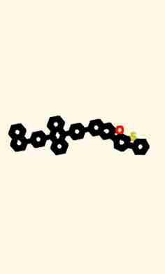 c1ccc2c(-c3ccc(-c4c5ccccc5c(-c5ccc(-c6ccc7cc8oc9c(ccc%10c%11ccccc%11sc%109)c8cc7c6)cc5)c5ccccc45)cc3)cccc2c1